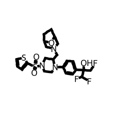 O=S(=O)(c1cccs1)N1CCN(c2ccc(C(O)(CF)C(F)F)cc2)C(CN2CC3CCC(C2)O3)C1